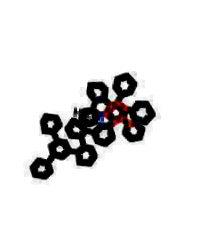 Cn1c2c(-c3ccccc3-c3ccccc3-c3cc(-c4ccccc4)cc(-c4ccccc4)c3)cccc2c2c3sc4ccccc4c3cc(-c3ccccc3-c3ccccc3-c3cc(-c4ccccc4)cc(-c4ccccc4)c3)c21